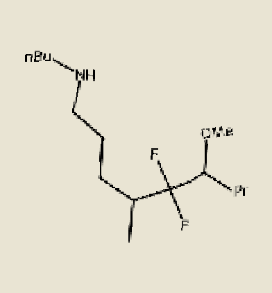 CCCCNCCCC(C)C(F)(F)C(OC)C(C)C